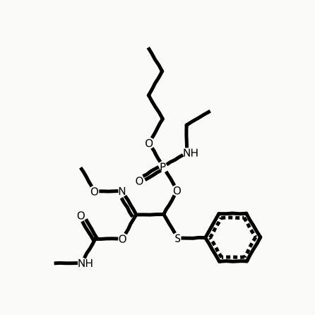 CCCCOP(=O)(NCC)OC(Sc1ccccc1)/C(=N/OC)OC(=O)NC